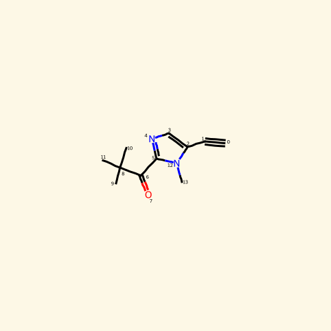 C#Cc1cnc(C(=O)C(C)(C)C)n1C